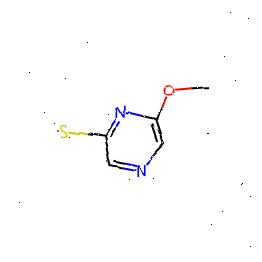 COc1cncc([S])n1